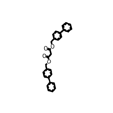 O=C(CC(=O)OCc1ccc(-c2ccccc2)cc1)OCc1ccc(-c2ccccc2)cc1